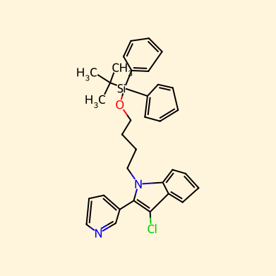 CC(C)(C)[Si](OCCCCn1c(-c2cccnc2)c(Cl)c2ccccc21)(c1ccccc1)c1ccccc1